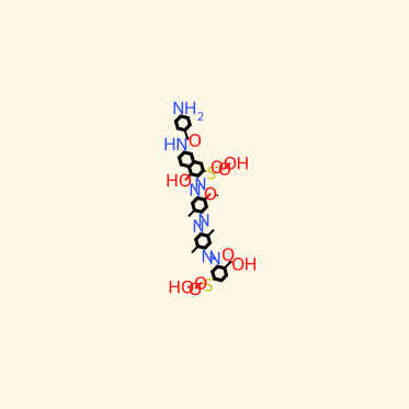 COc1cc(N=Nc2cc(C)c(N=Nc3cc(SOOO)ccc3C(=O)O)cc2C)c(C)cc1N=Nc1c(SOOO)cc2cc(NC(=O)c3ccc(N)cc3)ccc2c1O